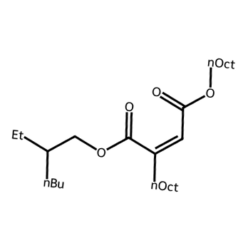 CCCCCCCCOC(=O)/C=C(/CCCCCCCC)C(=O)OCC(CC)CCCC